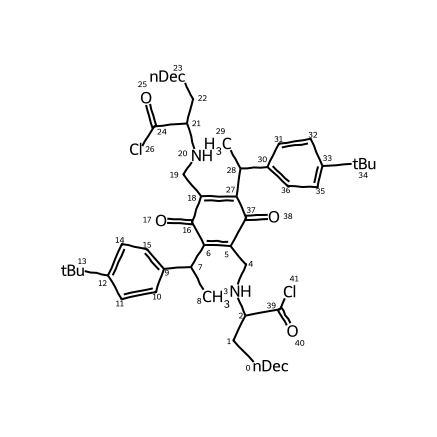 CCCCCCCCCCCC(NCC1=C(C(C)c2ccc(C(C)(C)C)cc2)C(=O)C(CNC(CCCCCCCCCCC)C(=O)Cl)=C(C(C)c2ccc(C(C)(C)C)cc2)C1=O)C(=O)Cl